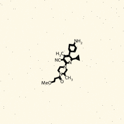 COCCC(=O)N1CCN(c2nc(C3CC3)c(-c3ccc(N)cc3)c(C)c2C#N)CC1C